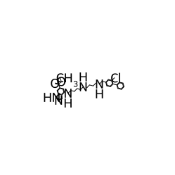 COC(=O)c1cc(NCCCCNCCCCNCc2ccc(-c3ccccc3)c(Cl)c2)c2cn[nH]c2c1